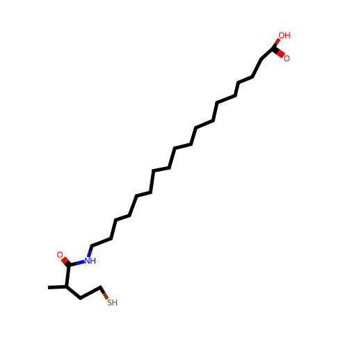 CC(CCS)C(=O)NCCCCCCCCCCCCCCCCCC(=O)O